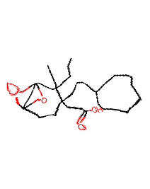 CCC1(C)C(CC2CCCCC2)(C(=O)O)CCC23OC21O3